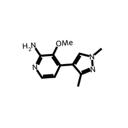 COc1c(-c2cn(C)nc2C)ccnc1N